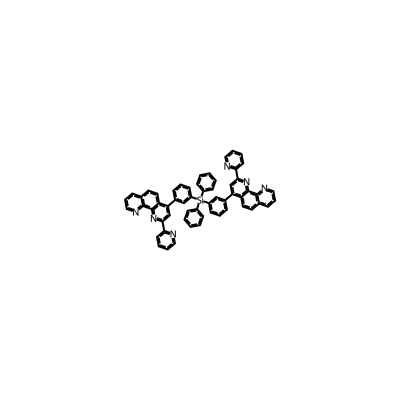 c1ccc([Si](c2ccccc2)(c2cccc(-c3cc(-c4ccccn4)nc4c3ccc3cccnc34)c2)c2cccc(-c3cc(-c4ccccn4)nc4c3ccc3cccnc34)c2)cc1